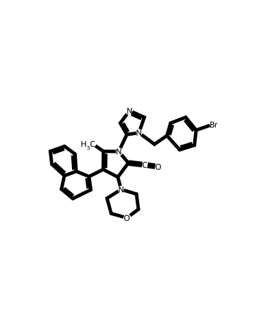 CC1=C(c2cccc3ccccc23)C(N2CCOCC2)C(=C=O)N1c1cncn1Cc1ccc(Br)cc1